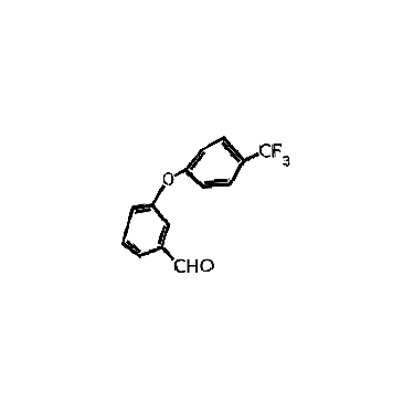 O=Cc1cccc(Oc2ccc(C(F)(F)F)cc2)c1